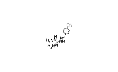 N/N=C(\NN)N/N=C/c1ccc(O)cc1